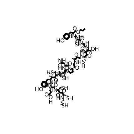 CCCOC(=O)C(Cc1ccc(O)cc1)NN[C@@H](CS)C(=O)NCC(=O)N[C@H](C(=O)C(=O)[C@H](CS)NCC(=O)[C@H](C)NCC(=O)[C@@H]1CCCN1C(=O)[C@H](CC(N)=O)NC(=O)[C@H](CS)NN[C@@H](CS)C(=O)C(=O)[C@H](Cc1ccc(O)cc1)NN[C@@H](CCC(=O)O)C(=O)N[C@@H](CS)C(=O)C(=O)[C@H](CS)NCSS)[C@@H](C)O